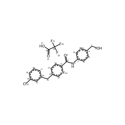 O=C(Nc1ccc(CO)nc1)c1ccc(Cc2cccc(Cl)c2)cn1.O=C(O)C(F)(F)F